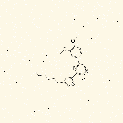 CCCCCCc1csc(-c2cncc(-c3ccc(OC)c(OC)c3)n2)c1